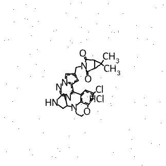 CC1(C)C2C(=O)N(Cc3cc4c(-c5cc(Cl)cc6c5N(C5CCNC5)CCO6)ncnn4c3)C(=O)C21.Cl